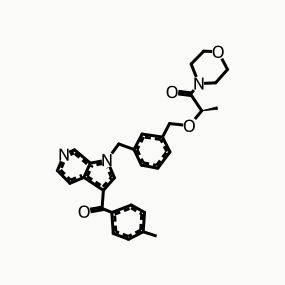 Cc1ccc(C(=O)c2cn(Cc3cccc(CO[C@H](C)C(=O)N4CCOCC4)c3)c3cnccc23)cc1